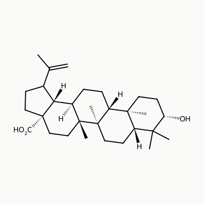 C=C(C)C1CC[C@]2(C(=O)O)CC[C@]3(C)[C@H](CC[C@@H]4[C@@]5(C)CC[C@H](O)C(C)(C)[C@@H]5CC[C@]43C)[C@@H]12